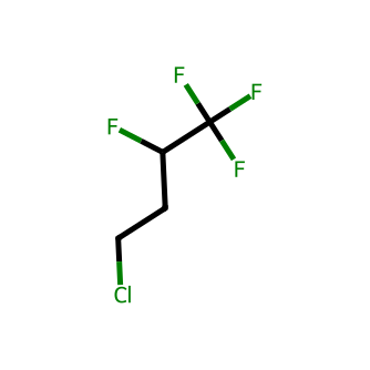 FC(CCCl)C(F)(F)F